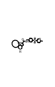 Cc1ccc(S(=O)(=O)c2ccc(CNC(=O)c3cc4c([nH]3)C3(CCCCCCCCCC3)CNC4)cc2)cn1